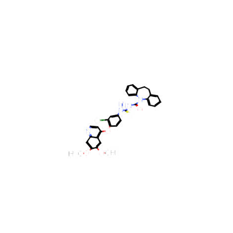 COc1cc2nccc(Oc3ccc(NC(=S)NC(=O)N4c5ccccc5CCc5ccccc54)cc3Cl)c2cc1OC